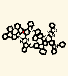 CC1(Cc2ccc3c(c2)c2ccccc2c2ccc4c(c23)c2c3ccccc3ccc2n4-c2nc3c(nc2-c2ccc4c5ccccc5n(-c5ccccc5)c4c2)oc2ccccc23)c2ccccc2-c2nc(-n3c4ccc5ccccc5c4c4c5c6ccccc6c6ccccc6c5ccc43)c(-c3ccc4c5ccccc5n(-c5ccccc5)c4c3)nc21